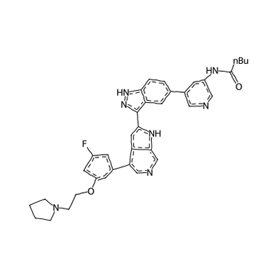 CCCCC(=O)Nc1cncc(-c2ccc3[nH]nc(-c4cc5c(-c6cc(F)cc(OCCN7CCCC7)c6)cncc5[nH]4)c3c2)c1